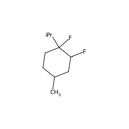 CC1CCC(F)(C(C)C)[C](F)C1